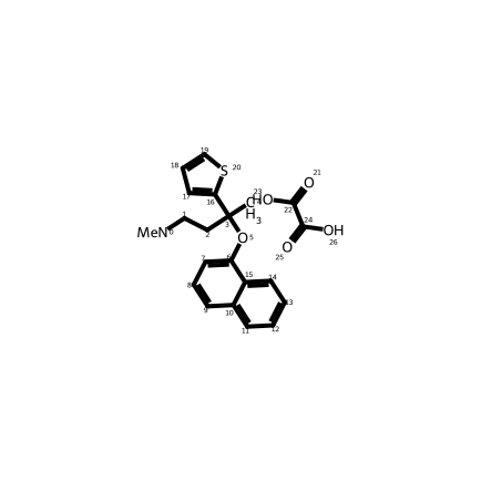 CNCCC(C)(Oc1cccc2ccccc12)c1cccs1.O=C(O)C(=O)O